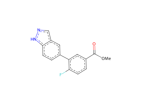 COC(=O)c1ccc(F)c(-c2ccc3[nH]ncc3c2)c1